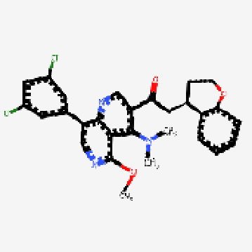 COc1ncc(-c2cc(Cl)cc(Cl)c2)c2ncc(C(=O)C[C@H]3CCOc4ccccc43)c(N(C)C)c12